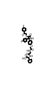 O=C(COc1ccc([C@]2(c3ccc(F)cc3)NC(=O)[C@@H]2SCC(=O)c2ccc(F)cc2)cc1)NCC(=O)N[C@@H](C(=O)O)C1CCCCC1